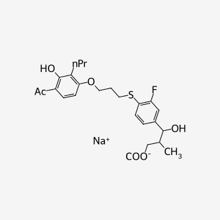 CCCc1c(OCCCSc2ccc(C(O)C(C)CC(=O)[O-])cc2F)ccc(C(C)=O)c1O.[Na+]